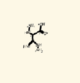 N=C(NN)C(NN)C(=O)O